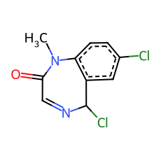 CN1C(=O)C=NC(Cl)c2cc(Cl)ccc21